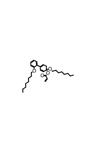 C=CC(=O)OC1(OCCCCCCCC)C=CC(c2ccccc2OCCCCCCCC)=CC1